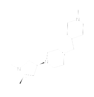 CN1CCC(CN2CCN([C@H]3C[C@@H](I)N(C)C3)CC2)CC1